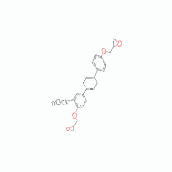 CCCCCCCCc1cc(C2=CCC(c3ccc(OCC4CO4)cc3)=CC2)ccc1OCC1CO1